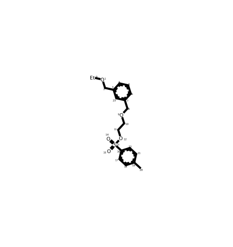 CCOCc1cccc(COCCOS(=O)(=O)c2ccc(C)cc2)c1